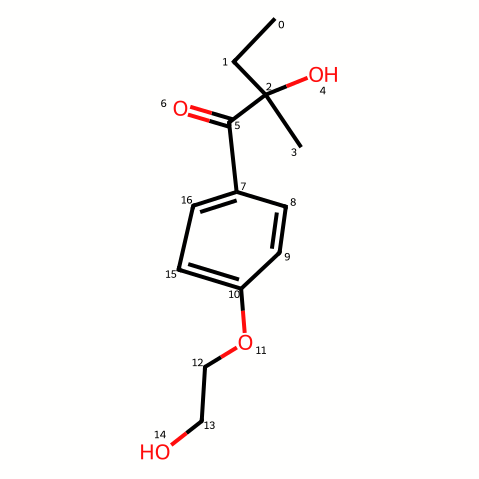 CCC(C)(O)C(=O)c1ccc(OCCO)cc1